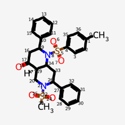 Cc1ccc(S(=O)(=O)N2C(c3ccccc3)CC(=O)[C@@H]3CN(S(C)(=O)=O)C(c4ccccc4)CC32)cc1